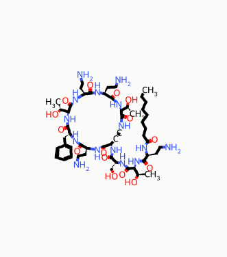 CCCCCCCCC(=O)N[C@@H](CCN)C(=O)N[C@H](C(=O)N[C@H](CO)C(=O)N[C@H]1CCNC(=O)[C@H]([C@@H](C)O)NC(=O)[C@H](CCN)NC(=O)[C@H](CCN)NC(=O)[C@H]([C@@H](C)O)NC(=O)[C@@H](Cc2ccccc2)NC(=O)[C@H](CCN)NC1=O)[C@@H](C)O